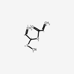 C=CC(=O)OC(C=C)SC#N